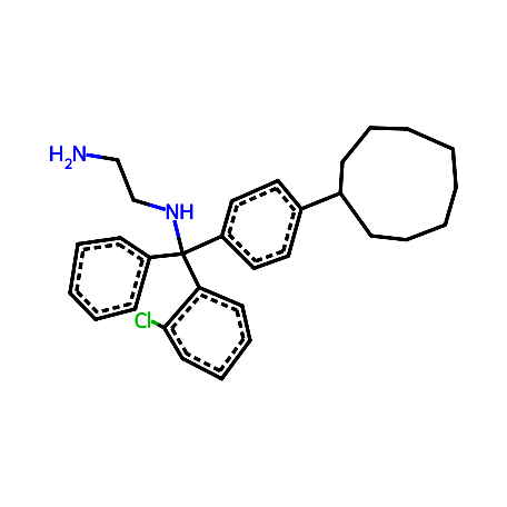 NCCNC(c1ccccc1)(c1ccc(C2CCCCCCCC2)cc1)c1ccccc1Cl